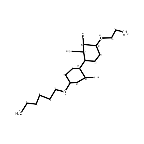 CCCCCCOC1CCC(C2CCC(OCCC)C(F)C2F)C(F)C1